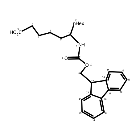 CCCCCCC(CCCCC(=O)O)NC(=O)OCC1c2ccccc2-c2ccccc21